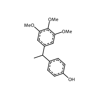 COc1cc(C(C)c2ccc(O)cc2)cc(OC)c1OC